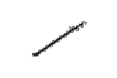 CC(C)C(=O)CCCC(=O)NCCOCCOCCOCCOCCOCCOCCOCCOCCOCCOCCN=[N+]=[N-]